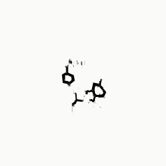 Cc1ccc2c(c1)C(=O)N(C/C(=C\F)COc1ccc(C(=O)NC(C)(C)C)cc1)C2=O